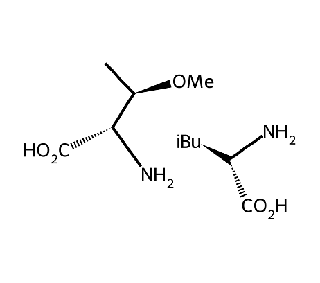 CC[C@H](C)[C@H](N)C(=O)O.CO[C@H](C)[C@H](N)C(=O)O